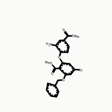 CCc1cc(OCc2ccccc2)c(C(=O)OC)c(Oc2ccc(C(=O)OC)cc2N)c1